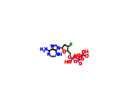 NC1=NC=CNc2c1ncn2C1CC(F)C(COP(=O)(O)OP(=O)(O)OP(=O)(O)O)O1